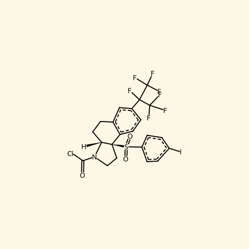 O=C(Cl)N1CC[C@@]2(S(=O)(=O)c3ccc(I)cc3)c3ccc(C(F)(C(F)(F)F)C(F)(F)F)cc3CC[C@@H]12